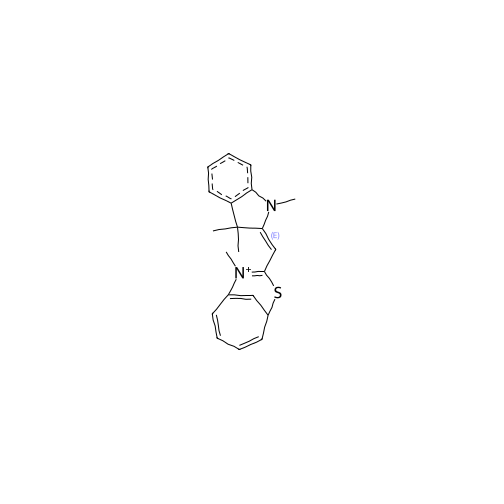 CN1/C(=C/C2=[N+](C)C3=CC(C=CC=C3)S2)C(C)(C)c2ccccc21